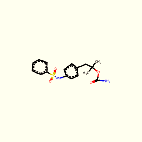 CC(C)(Cc1ccc(NS(=O)(=O)c2ccccc2)cc1)OC(N)=O